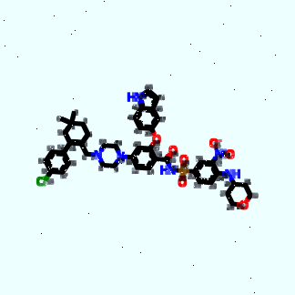 CC1(C)CCC(CN2CCN(c3ccc(C(=O)NS(=O)(=O)c4ccc(NC5CCOCC5)c([N+](=O)[O-])c4)c(Oc4ccc5[nH]ccc5c4)c3)CC2)=C(c2ccc(Cl)cc2)C1